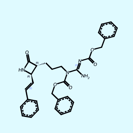 N/C(=N\C(=O)OCc1ccccc1)N(CCC[C@H]1C(=O)N[C@@H]1/C=C/c1ccccc1)C(=O)OCc1ccccc1